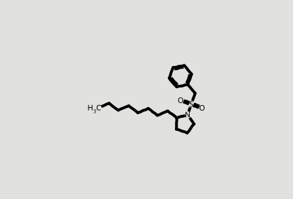 CCCCCCCCC1CCCN1S(=O)(=O)Cc1ccccc1